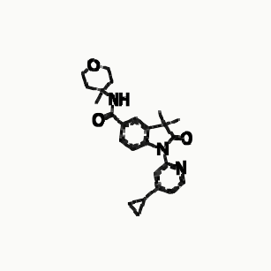 CC1(NC(=O)c2ccc3c(c2)C(C)(C)C(=O)N3c2cc(C3CC3)ccn2)CCOCC1